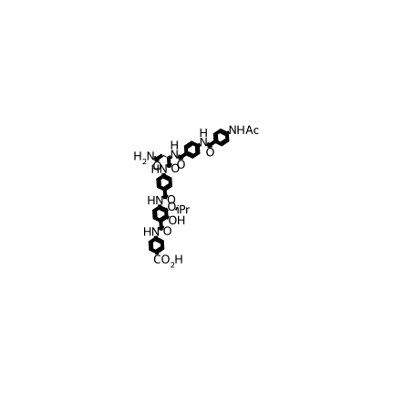 CC(=O)Nc1ccc(C(=O)Nc2ccc(C(=O)N[C@@H](CC(N)=O)C(=O)Nc3ccc(C(=O)Nc4ccc(C(=O)Nc5ccc(C(=O)O)cc5)c(O)c4OC(C)C)cc3)cc2)cc1